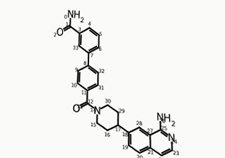 NC(=O)c1cccc(-c2ccc(C(=O)N3CCC(c4ccc5ccnc(N)c5c4)CC3)cc2)c1